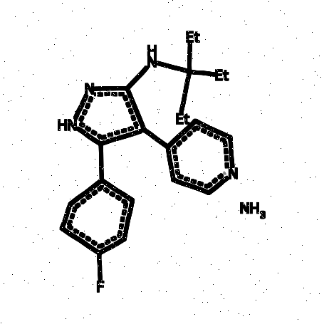 CCC(CC)(CC)Nc1n[nH]c(-c2ccc(F)cc2)c1-c1ccncc1.N